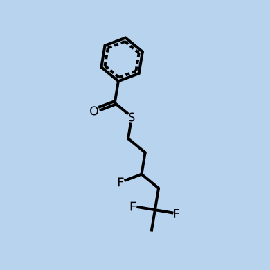 CC(F)(F)CC(F)CCSC(=O)c1ccccc1